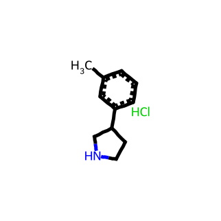 Cc1cccc(C2CCNC2)c1.Cl